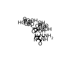 Nc1nc2c(ncn2[C@@H]2O[C@H](COP(=O)(O)OP(=O)(O)O)C(OP(=O)(O)OP(=O)(O)O)[C@@H]2O)c(=O)[nH]1